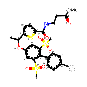 COC(=O)CCNC(=O)c1ccc(C(C)Oc2cc(S(C)(=O)=O)c(-c3ccc(C(F)(F)F)cc3)c(S(C)(=O)=O)c2)s1